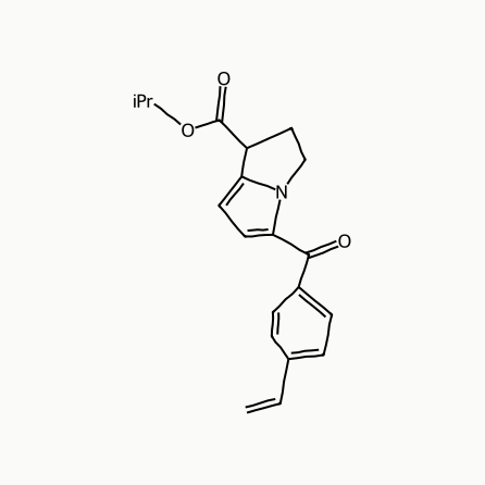 C=Cc1ccc(C(=O)c2ccc3n2CCC3C(=O)OC(C)C)cc1